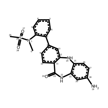 CN(c1ccccc1-c1ccc2c(c1)Nc1ccc(N)cc1NC2=O)S(C)(=O)=O